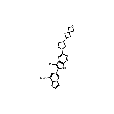 COc1cc(-c2[nH]c3cnc(C4CCC(N5CC6(COC6)C5)C4)cc3c2C(C)C)cn2ncnc12